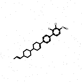 C/C=C/C1CCC(C2CC=C(c3ccc(-c4ccc(OCC)c(Cl)c4F)cc3)CC2)CC1